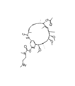 CNCCN(C)C(=O)Oc1cc2cc(c1)[C@H](OC)[C@@H](C)C[C@H](OC)[C@H](OC)C(C)/C=C(\C)[C@H](OC(C)=O)[C@@H](C)/C=C\C=C(/C)C(=O)N2